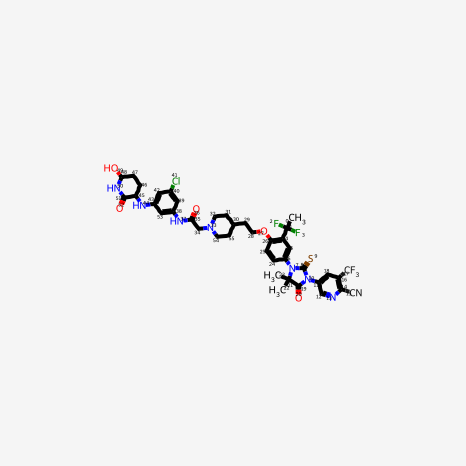 CC(F)(F)c1cc(N2C(=S)N(c3cnc(C#N)c(C(F)(F)F)c3)C(=O)C2(C)C)ccc1OCCC1CCN(CC(=O)Nc2cc(Cl)cc(NC3CCC(O)NC3=O)c2)CC1